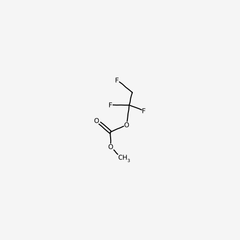 COC(=O)OC(F)(F)CF